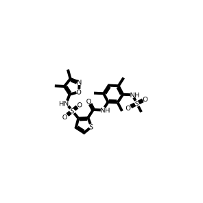 Cc1cc(C)c(NS(C)(=O)=O)c(C)c1NC(=O)c1sccc1S(=O)(=O)Nc1onc(C)c1C